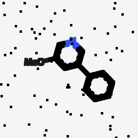 COc1cncc(-c2ccccc2)c1